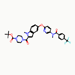 CN(C(=O)c1ccc(C(F)(F)F)cc1)c1ccc(Oc2ccc3c(c2)cc(C(=O)N2CCN(C(=O)OC(C)(C)C)CC2)n3C)nc1